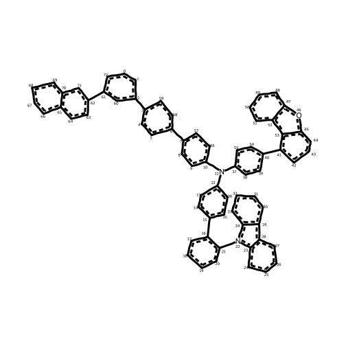 c1cc(-c2ccc(-c3ccc(N(c4ccc(-c5ccccc5-n5c6ccccc6c6ccccc65)cc4)c4ccc(-c5cccc6oc7ccccc7c56)cc4)cc3)cc2)cc(-c2ccc3ccccc3c2)c1